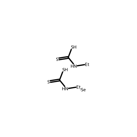 CCNC(=S)S.CCNC(=S)S.[Se]